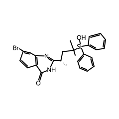 C[C@@H](CC(C)(C)[Si](O)(c1ccccc1)c1ccccc1)c1nc2cc(Br)ccc2c(=O)[nH]1